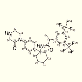 CC(C(=O)NC1(c2ccc(N3CCNCC3=O)cc2)CCCCC1)c1cc(C(F)(F)F)cc(C(F)(F)F)c1